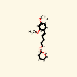 COc1ccc(C=CCCCOC2CCCCO2)c(OC)c1